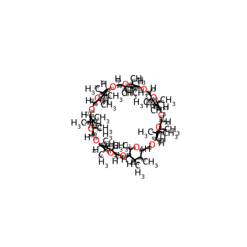 CC1[C@@H]2OC(C)[C@@H](O[C@H]3OC(C)[C@@H](O[C@@H]4OC(C)[C@@H](O[C@H]5OC(C)[C@@H](O[C@@H]6OC(C)[C@@H](O[C@H]7OC(C)[C@@H](O[C@@H]8OC(C)[C@@H](O2)[C@H](C)C8C)[C@H](C)C7C)[C@H](C)C6C)[C@H](C)C5C)[C@H](C)C4C)[C@H](C)C3C)[C@@H]1C